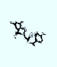 COc1ccc(C(C)NC(=O)Cn2nnc3c(C)cc(C)cc3c2=O)cc1